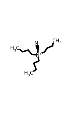 CCCC[N+](C#N)(CCCC)CCCC